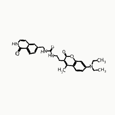 CCN(CC)c1ccc2c(C)c(CCNC(=O)NCc3ccc4c(=O)[nH]ccc4c3)c(=O)oc2c1